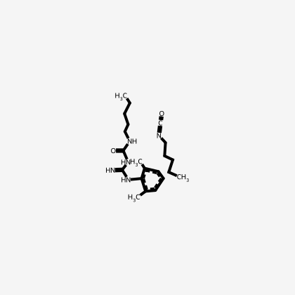 CCCCCN=C=O.CCCCCNC(=O)NC(=N)Nc1c(C)cccc1C